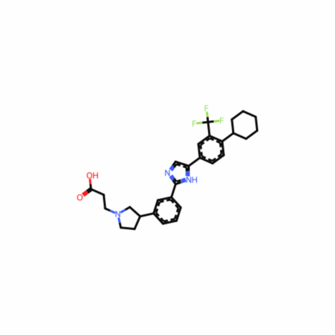 O=C(O)CCN1CCC(c2cccc(-c3ncc(-c4ccc(C5CCCCC5)c(C(F)(F)F)c4)[nH]3)c2)C1